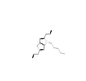 C=CCC1=Cc2c(cc(CC=C)p2CCCCC)C1